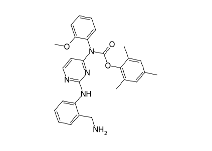 COc1ccccc1N(C(=O)Oc1c(C)cc(C)cc1C)c1ccnc(Nc2ccccc2CN)n1